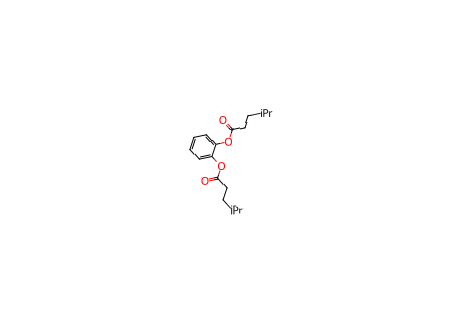 CC(C)CCC(=O)Oc1ccccc1OC(=O)CCC(C)C